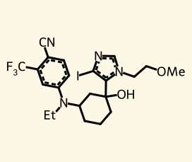 CCN(c1ccc(C#N)c(C(F)(F)F)c1)C1CCCC(O)(c2c(I)ncn2CCOC)C1